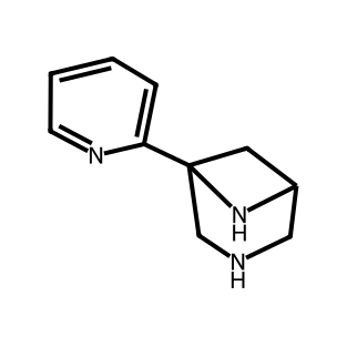 c1ccc(C23CNCC(C2)N3)nc1